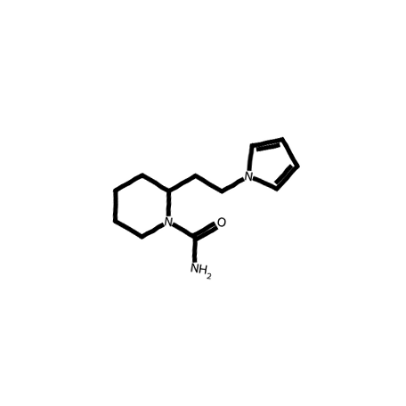 NC(=O)N1CCCCC1CCn1cccc1